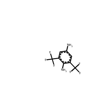 Nc1cc(C(F)(F)F)c(N)c(C(F)(F)F)c1